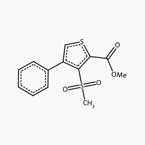 COC(=O)c1scc(-c2ccccc2)c1S(C)(=O)=O